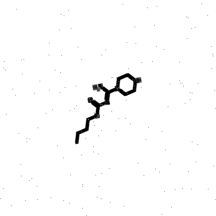 CCCCOC(=O)N=C(N)N1CCNCC1